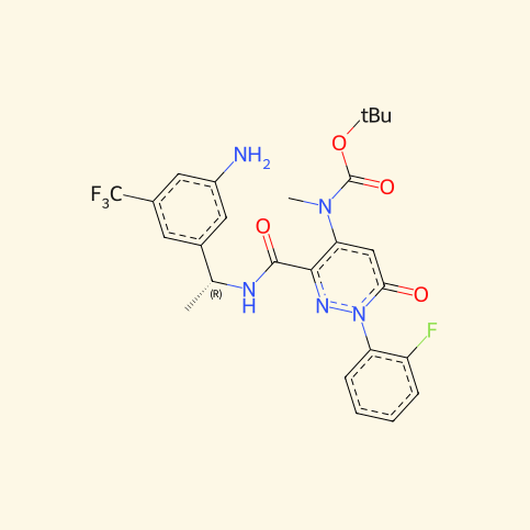 C[C@@H](NC(=O)c1nn(-c2ccccc2F)c(=O)cc1N(C)C(=O)OC(C)(C)C)c1cc(N)cc(C(F)(F)F)c1